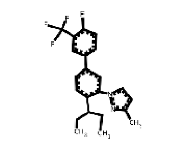 CCC(CC)c1ccc(-c2ccc(F)c(C(F)(F)F)c2)cc1-n1ccc(C)n1